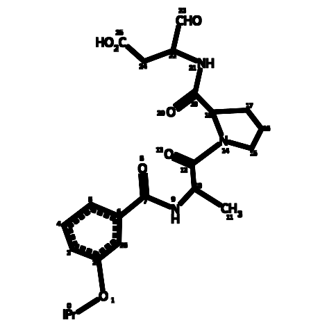 CC(C)Oc1cccc(C(=O)NC(C)C(=O)N2CCCC2C(=O)NC(C=O)CC(=O)O)c1